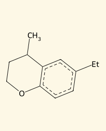 CCc1ccc2c(c1)C(C)CCO2